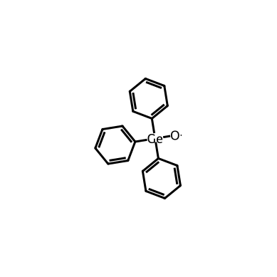 [O][Ge]([c]1ccccc1)([c]1ccccc1)[c]1ccccc1